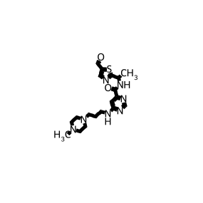 CC(NC(=O)c1cc(NCCCN2CCN(C)CC2)ncn1)c1ncc(C=O)s1